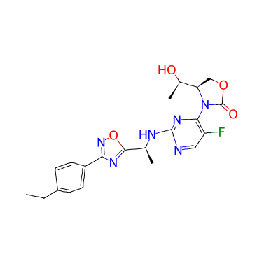 CCc1ccc(-c2noc([C@H](C)Nc3ncc(F)c(N4C(=O)OC[C@@H]4[C@@H](C)O)n3)n2)cc1